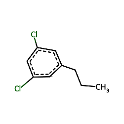 CCCc1[c]c(Cl)cc(Cl)c1